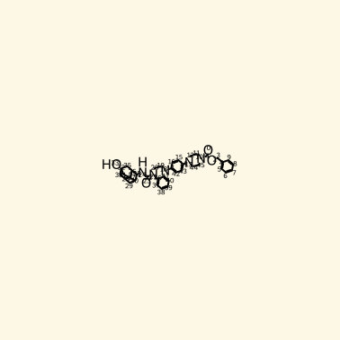 O=C(OCc1ccccc1)N1CCN(c2ccc(N3CCN(C(=O)NC4C5CC6CC4CC(O)(C6)C5)c4ccccc43)cc2)CC1